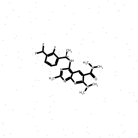 Cc1nc(N[C@H](C)c2cccc(C(F)F)c2F)c2cc(C(=O)N(C)C)c(N(C)C)nc2n1